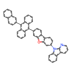 c1ccc2cc(-c3c4ccccc4c(-c4ccc5c(c4)oc4cc(-n6c7ccccc7c7cccnc76)ccc45)c4ccccc34)ccc2c1